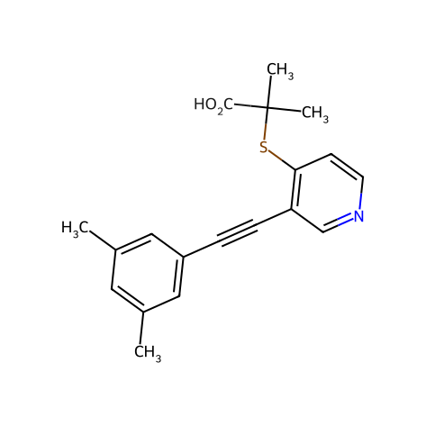 Cc1cc(C)cc(C#Cc2cnccc2SC(C)(C)C(=O)O)c1